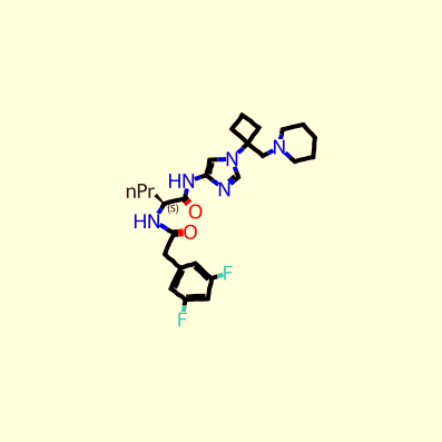 CCC[C@H](NC(=O)Cc1cc(F)cc(F)c1)C(=O)Nc1cn(C2(CN3CCCCC3)CCC2)cn1